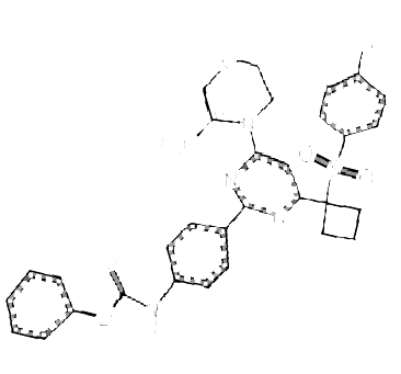 Cc1ccc(S(=O)(=O)C2(c3cc(N4CCOC[C@@H]4C)nc(-c4ccc(NC(=O)Oc5ccccc5)cc4)n3)CCC2)cc1